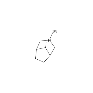 CC1C2CCC1CN(C(C)C)C2